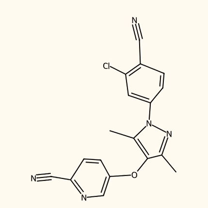 Cc1nn(-c2ccc(C#N)c(Cl)c2)c(C)c1Oc1ccc(C#N)nc1